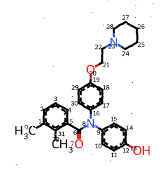 Cc1cccc(C(=O)N(c2ccc(O)cc2)c2ccc(OCCN3CCCCC3)cc2)c1C